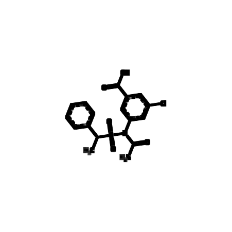 CC(c1ccccc1)S(=O)(=O)N(C(N)=O)c1cc(Cl)cc(C(=O)O)c1